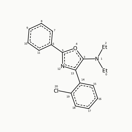 CCN(CC)c1oc(-c2ccccc2)nc1-c1ccccc1Cl